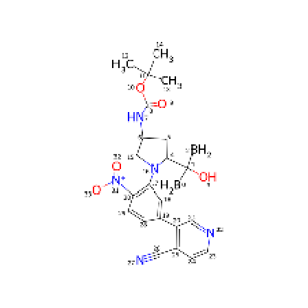 BC(B)(O)C1CC(NC(=O)OC(C)(C)C)CN1c1cc(-c2cnccc2C#N)ccc1[N+](=O)[O-]